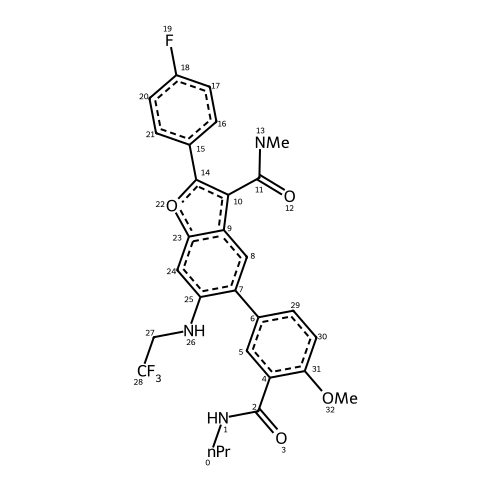 CCCNC(=O)c1cc(-c2cc3c(C(=O)NC)c(-c4ccc(F)cc4)oc3cc2NCC(F)(F)F)ccc1OC